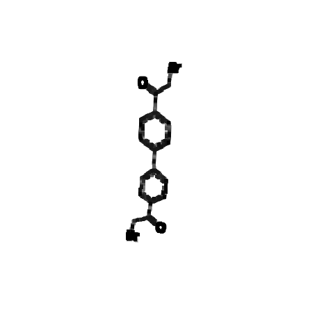 O=C(CBr)c1ccc(-c2ccc(C(=O)CBr)cc2)cc1